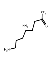 N.NCCCCCCC(=O)C(F)(F)F